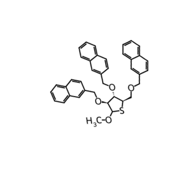 COC1S[C@H](COCc2ccc3ccccc3c2)[C@@H](OCc2ccc3ccccc3c2)[C@@H]1OCc1ccc2ccccc2c1